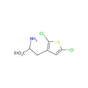 CCOC(=O)C(N)Cc1cc(Cl)sc1Cl